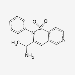 CC(N)C1=Cc2cnccc2S(=O)(=O)N1c1ccccc1